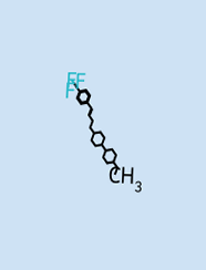 CCC1CCC(C2CCC(CCC=Cc3ccc(C(F)(F)F)cc3)CC2)CC1